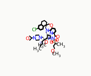 CC/C=C/[C@](CN1CCN(C2COC2)CC1)(OC)[C@@H]1CC[C@H]1CN1C[C@@]2(CCCc3cc(Cl)ccc32)COc2ccc(C(=O)NS(=O)(=O)[C@@H](C)CCOC)nc21